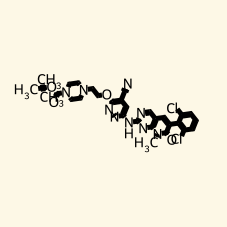 Cn1c(=O)c(-c2c(Cl)cccc2Cl)cc2cnc(Nc3cc(C#N)c(OCCN4CCN(C(=O)OC(C)(C)C)CC4)nn3)nc21